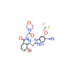 N#Cc1cc2[nH]c(Cc3nn(CC(=O)N4CCOCC4)c(=O)c4cccc(Br)c34)nc2cc1OCC(F)F